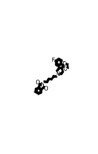 O=C1c2ccccc2C(=O)N1CCCCCCN1CCC(C2(c3ccc(F)cc3)OCCO2)CC1